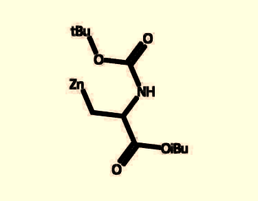 CC(C)COC(=O)C([CH2][Zn])NC(=O)OC(C)(C)C